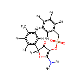 [2H]c1c([2H])c([2H])c(CS(=O)(=O)OC2=C(N([2H])[2H])O[C@]([2H])(c3c([2H])c([2H])c(C(F)(F)F)c([2H])c3[2H])C2=O)c([2H])c1[2H]